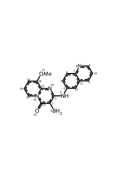 Bc1c(Nc2ccc3ncccc3c2)nc2c(OC)cccn2c1=O